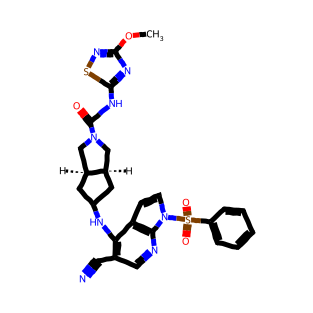 COc1nsc(NC(=O)N2C[C@H]3CC(Nc4c(C#N)cnc5c4ccn5S(=O)(=O)c4ccccc4)C[C@H]3C2)n1